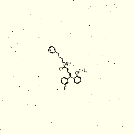 COc1ccccc1C(=CC=CC(=O)NCCCCc1cccnc1)c1cccc(F)c1